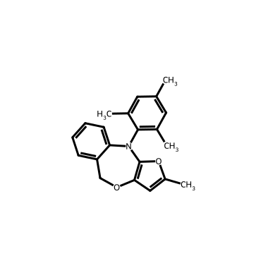 Cc1cc(C)c(N2c3ccccc3COc3cc(C)oc32)c(C)c1